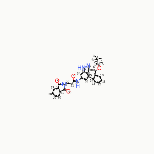 CC(C)(C)[Si](C)(C)OCc1ccccc1-c1cc(NC(=O)CCN2C(=O)c3ccccc3C2=O)cc2[nH]ncc12